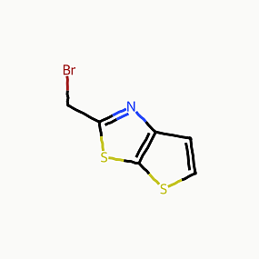 BrCc1nc2ccsc2s1